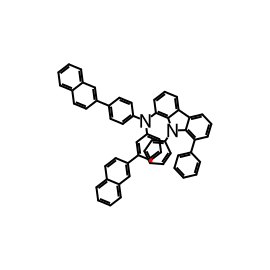 c1ccc(-c2cccc3c4cccc(N(c5ccc(-c6ccc7ccccc7c6)cc5)c5cccc(-c6ccc7ccccc7c6)c5)c4n(-c4ccccc4)c23)cc1